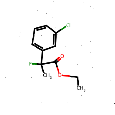 CCOC(=O)C(C)(F)c1cccc(Cl)c1